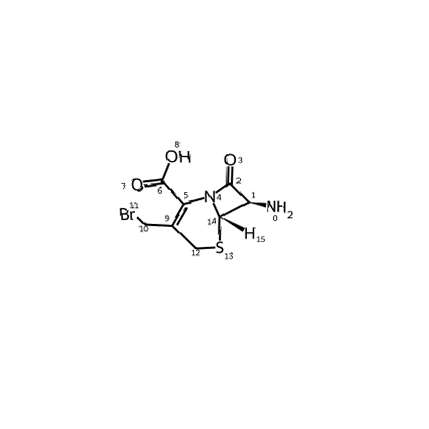 N[C@@H]1C(=O)N2C(C(=O)O)=C(CBr)CS[C@@H]12